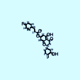 Cc1ccc([C@@H]2CC(=O)c3c(O)cc(OC(=O)/C=C/c4ccc(F)cn4)cc3O2)cc1O